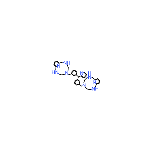 c1ccc(C(c2cccc(CN3CCCNCc4cccc(n4)CNCCC3)c2)c2cccc(CN3CCCNCc4cccc(n4)CNCCC3)c2)nc1